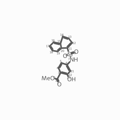 COC(=O)c1ccc(NS(=O)(=O)c2cccc3ccccc23)cc1O